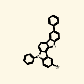 Brc1ccc2c(c1)c1c3oc4ccc(-c5ccccc5)cc4c3ccc1n2-c1ccccc1